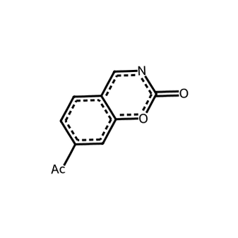 CC(=O)c1ccc2cnc(=O)oc2c1